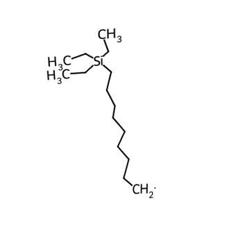 [CH2]CCCCCCCC[Si](CC)(CC)CC